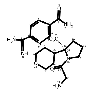 N=C(N)c1ccc(C(N)=O)cn1.NCC(=O)N1CCC[C@]1(C(=O)O)C1CCOCC1